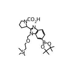 CC1(C)OB(c2ccc3nc(C4CCCN4C(=O)O)n(COCC[Si](C)(C)C)c3c2)OC1(C)C